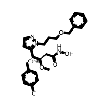 CO[C@H](CC(=O)NO)[C@H](Cc1ccc(Cl)cc1)c1ccnn1CCCOCc1ccccc1